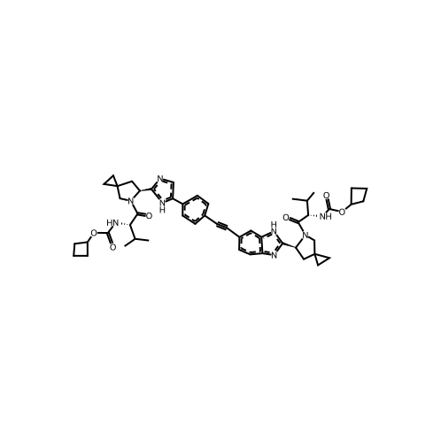 CC(C)[C@H](NC(=O)OC1CCC1)C(=O)N1CC2(CC2)C[C@H]1c1ncc(-c2ccc(C#Cc3ccc4nc([C@@H]5CC6(CC6)CN5C(=O)[C@@H](NC(=O)OC5CCC5)C(C)C)[nH]c4c3)cc2)[nH]1